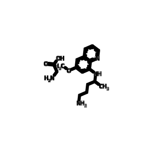 COc1cc(NC(C)CCCN)c2ncccc2c1.NCC(=O)O